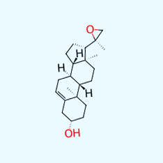 C[C@]12CC[C@H]3[C@@H](CC=C4C[C@@H](O)CC[C@@]43C)[C@@H]1CC[C@@H]2[C@]1(C)CO1